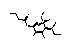 C=C(OC(=O)CCC)/C(F)=C(F)\C(=C(\F)CF)S(=O)(=O)OC